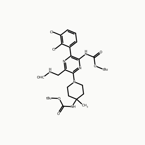 CC1(NC(=O)OC(C)(C)C)CCN(c2nc(NC(=O)OC(C)(C)C)c(-c3cccc(Cl)c3Cl)nc2CNC=O)CC1